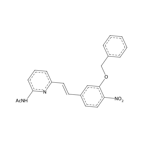 CC(=O)Nc1cccc(C=Cc2ccc([N+](=O)[O-])c(OCc3ccccc3)c2)n1